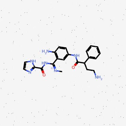 C/N=C(/NC(=O)c1ncc[nH]1)c1cc(NC(=O)C(CCN)c2ccccc2)ccc1N